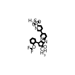 CC1(O)CC(c2ccccc2OC(F)F)c2c1nc1ccc(-c3ccc(S(C)(=O)=O)nc3)cn21